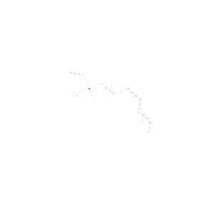 CCC(C)(N)/C=C/C=C\C=C\F